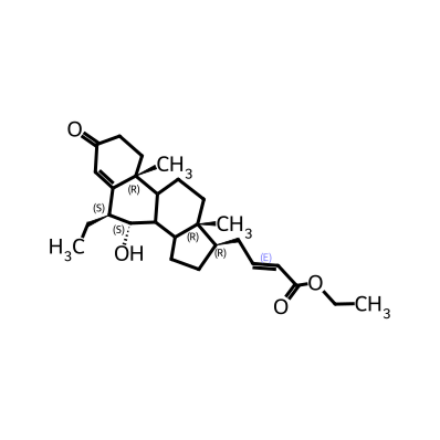 CCOC(=O)/C=C/C[C@H]1CCC2C3C(CC[C@@]21C)[C@@]1(C)CCC(=O)C=C1[C@H](CC)[C@H]3O